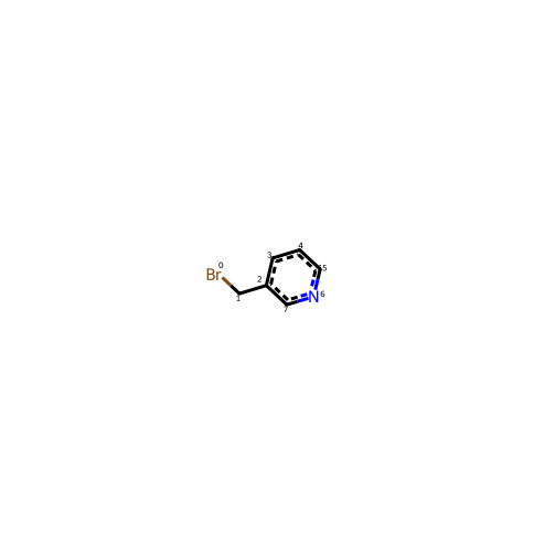 BrCc1cc[c]nc1